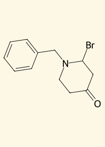 O=C1CCN(Cc2ccccc2)C(Br)C1